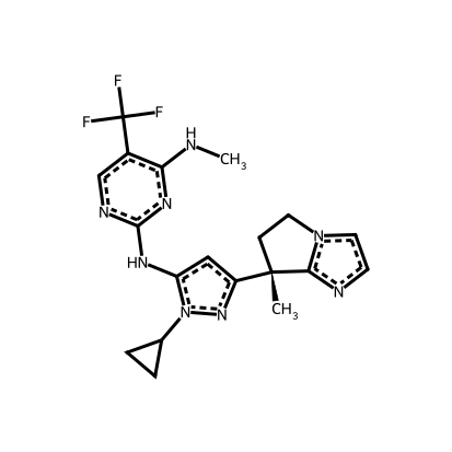 CNc1nc(Nc2cc([C@]3(C)CCn4ccnc43)nn2C2CC2)ncc1C(F)(F)F